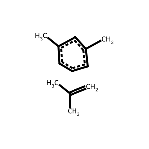 C=C(C)C.Cc1cccc(C)c1